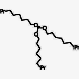 CC(C)CCCCCCOP(OCCCCCCC(C)C)OCCCCCCC(C)C